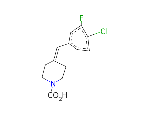 O=C(O)N1CCC(=Cc2ccc(Cl)c(F)c2)CC1